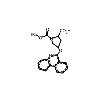 CC(C)(C)OC(=O)N1CC(Oc2nc3ccccc3c3ccccc23)CC1C(=O)O